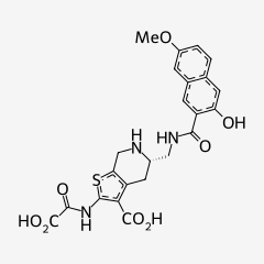 COc1ccc2cc(O)c(C(=O)NC[C@@H]3Cc4c(sc(NC(=O)C(=O)O)c4C(=O)O)CN3)cc2c1